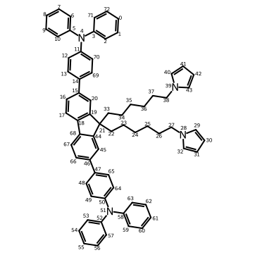 c1ccc(N(c2ccccc2)c2ccc(-c3ccc4c(c3)C(CCCCCCn3cccc3)(CCCCCCn3cccc3)c3cc(-c5ccc(N(c6ccccc6)c6ccccc6)cc5)ccc3-4)cc2)cc1